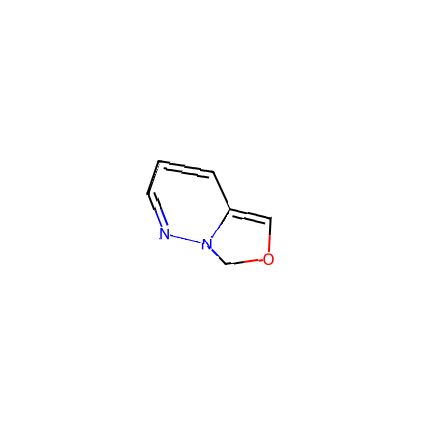 C1=CC2=COCN2N=C1